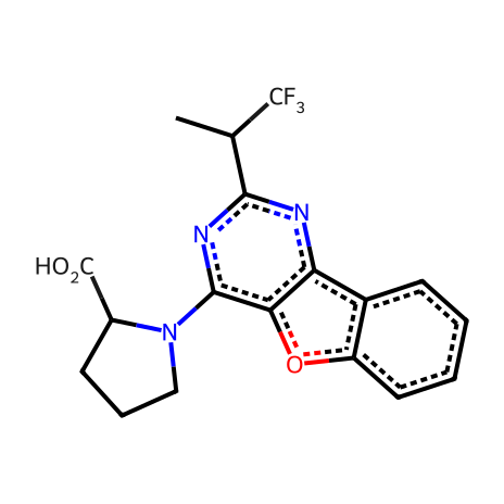 CC(c1nc(N2CCCC2C(=O)O)c2oc3ccccc3c2n1)C(F)(F)F